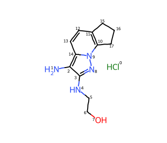 Cl.Nc1c(NCCO)nn2c3c(ccc12)CCC3